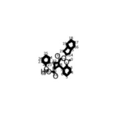 COc1ccccc1C1C(C(=O)OC2Cc3ccccc3C2)[C@@H](c2ccccc2OC)[C@H]1C(=O)O